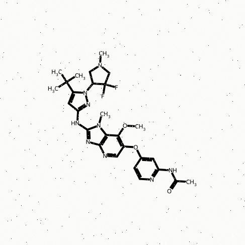 COc1c(Oc2ccnc(NC(C)=O)c2)cnc2nc(Nc3cc(C(C)(C)C)n(C4CN(C)CC4(F)F)n3)n(C)c12